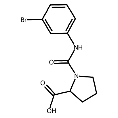 O=C(O)C1CCCN1C(=O)Nc1cccc(Br)c1